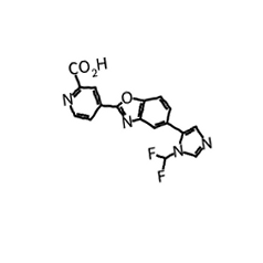 O=C(O)c1cc(-c2nc3cc(-c4cncn4C(F)F)ccc3o2)ccn1